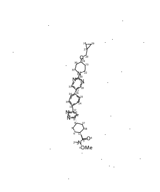 CON(C)C(=O)[C@H]1CC[C@H](c2nnc(-c3ccc(-c4cnc(N5CCC(OCC6CC6)CC5)nc4)cc3)s2)CC1